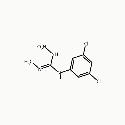 C/N=C(/Nc1cc(Cl)cc(Cl)c1)N[N+](=O)[O-]